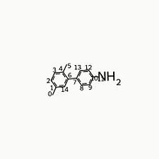 Cc1ccc(C)c(-c2ccc(N)cc2)c1